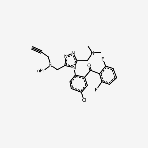 C#CCN(CCC)Cc1nnc(CN(C)C)n1-c1ccc(Cl)cc1C(=O)c1c(F)cccc1F